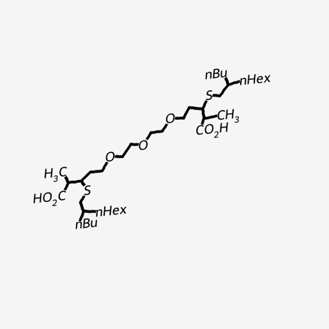 CCCCCCC(CCCC)CSC(CCOCCOCCOCCC(SCC(CCCC)CCCCCC)C(C)C(=O)O)C(C)C(=O)O